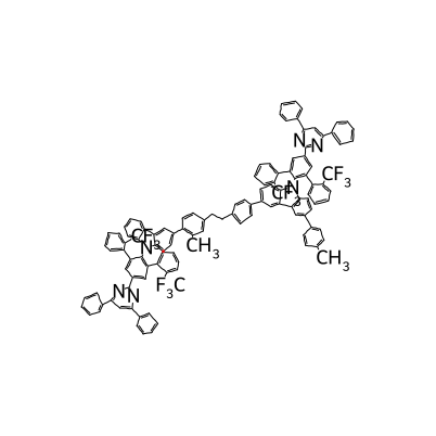 Cc1ccc(-c2ccc3c(c2)c2cc(-c4ccc(CCc5ccc(-c6ccc7c(c6)c6ccccc6n7-c6c(-c7ccccc7C(F)(F)F)cc(-c7nc(-c8ccccc8)cc(-c8ccccc8)n7)cc6-c6ccccc6C(F)(F)F)c(C)c5)cc4)ccc2n3-c2c(-c3ccccc3C(F)(F)F)cc(-c3nc(-c4ccccc4)cc(-c4ccccc4)n3)cc2-c2ccccc2C(F)(F)F)cc1